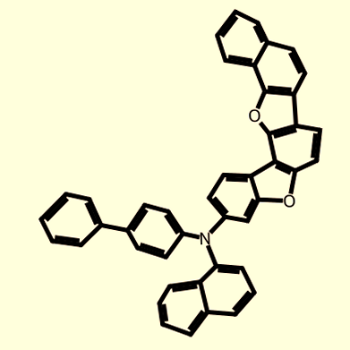 c1ccc(-c2ccc(N(c3ccc4c(c3)oc3ccc5c6ccc7ccccc7c6oc5c34)c3cccc4ccccc34)cc2)cc1